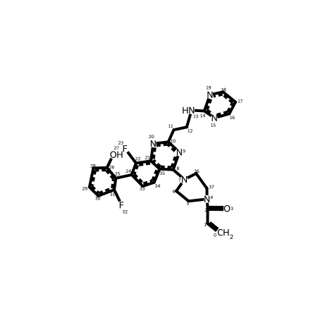 C=CC(=O)N1CCN(c2nc(CCNc3ncccn3)nc3c(F)c(-c4c(O)cccc4F)ccc23)CC1